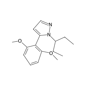 CCC(CC)n1nccc1-c1c(OC)cccc1OC